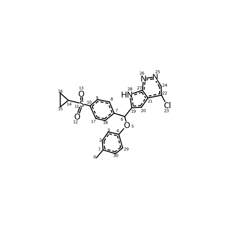 Cc1ccc(OC(c2ccc(S(=O)(=O)C3CC3)cc2)c2cc3c(Cl)cnnc3[nH]2)cc1